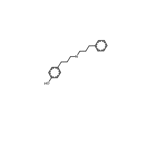 Oc1ccc(CCC[N]CCCc2ccccc2)cc1